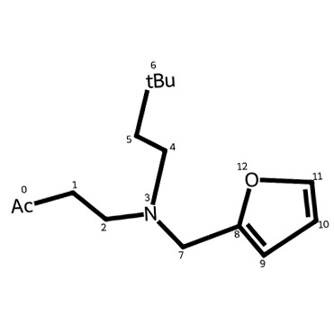 CC(=O)CCN(CCC(C)(C)C)Cc1ccco1